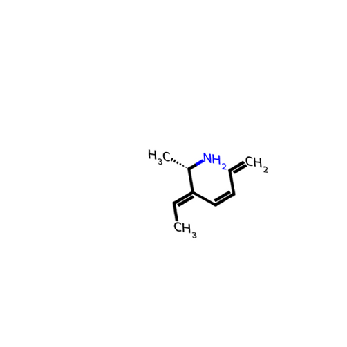 C=C/C=C\C(=C/C)[C@H](C)N